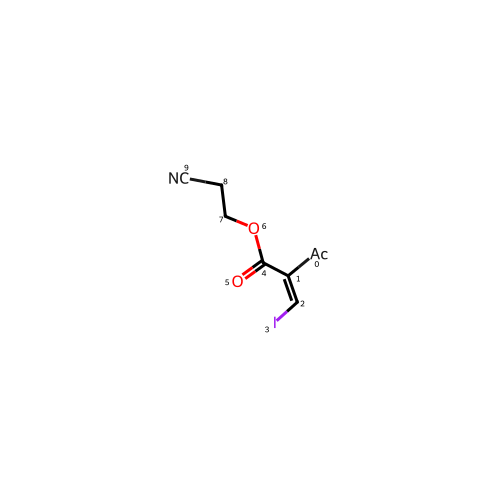 CC(=O)/C(=C/I)C(=O)OCCC#N